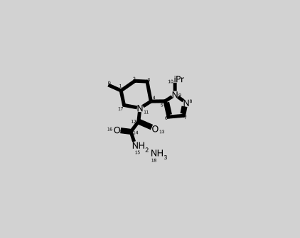 CC1CCC(c2ccnn2C(C)C)N(C(=O)C(N)=O)C1.N